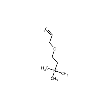 C=CCOCC[N+](C)(C)C